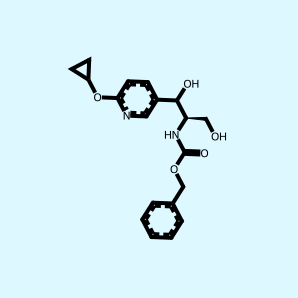 O=C(N[C@H](CO)C(O)c1ccc(OC2CC2)nc1)OCc1ccccc1